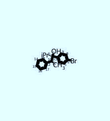 CC(C)[C@](O)(c1ccc(Br)cc1)[C@@H](C)c1ccccc1